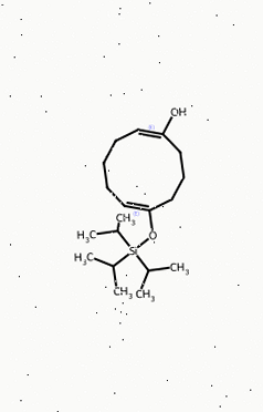 CC(C)[Si](O/C1=C/CCC/C=C(/O)CCC1)(C(C)C)C(C)C